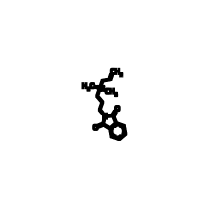 C=CC[N+](C)(C)CCCN1C(=O)c2ccccc2C1=O